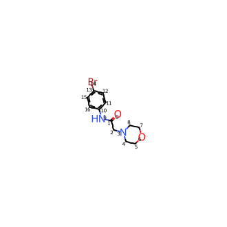 O=C(CN1CCOCC1)Nc1ccc(Br)cc1